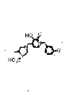 CC1CN(Cc2ccn(Cc3cccc(Cl)c3)c(=O)c2O)CCN1C(=O)O